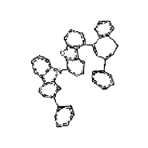 C1=C(c2ccccc2)C=C(c2cccc3oc4c(-n5c6ccccc6c6ccc(-c7ccccc7)cc65)cccc4c23)c2ccccc2C1